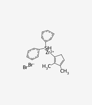 CC1=CC[C]([Zr+2][SiH](c2ccccc2)c2ccccc2)=C1C.[Br-].[Br-]